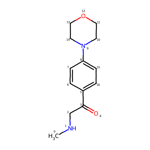 CNCC(=O)c1ccc(N2CCOCC2)cc1